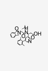 Cc1cccc(C)c1-c1cncc([C@H](CC(=O)O)NC(=O)[C@@H](CC(C)C)N2Cc3ccccc3C2=O)c1